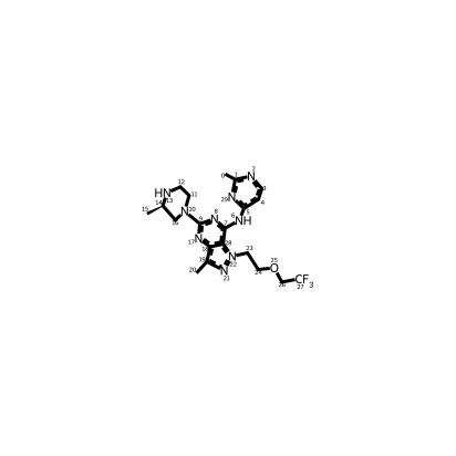 Cc1nccc(Nc2nc(N3CCN[C@H](C)C3)nc3c(C)nn(CCOCC(F)(F)F)c23)n1